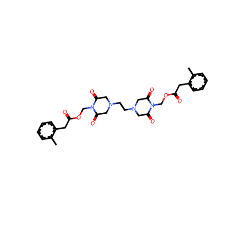 Cc1ccccc1CC(=O)OCN1C(=O)CN(CCN2CC(=O)N(COC(=O)Cc3ccccc3C)C(=O)C2)CC1=O